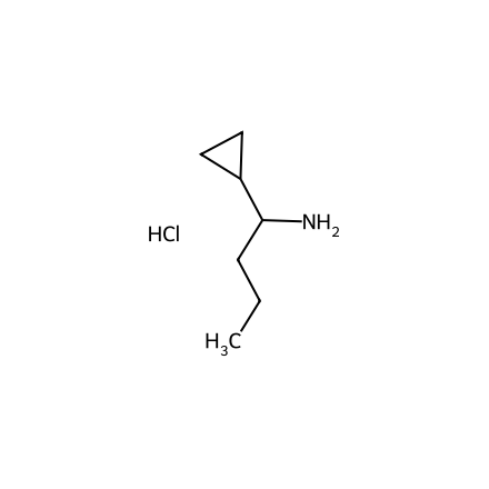 CCCC(N)C1CC1.Cl